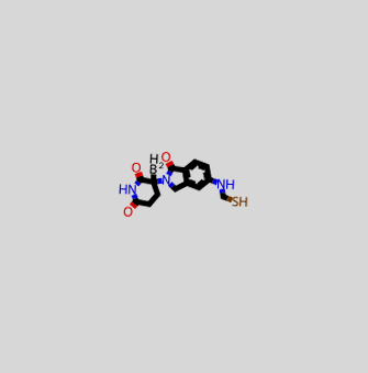 BC1(N2Cc3cc(NCS)ccc3C2=O)CCC(=O)NC1=O